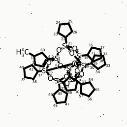 CC1CC=C([Si]23O[Si]4(C5CCCC5)O[Si]5(C6CCCC6)O[Si](C6CCCC6)(O2)O[Si]2(C6CCCC6)O[Si](C6CCCC6)(O3)O[Si](C3CCCC3)(O4)O[Si](C3CCCC3)(O5)O2)C1